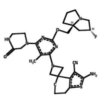 Cc1c(N2CCNC(=O)C2)nc(OC[C@@]23CCCN2C[C@H](F)C3)nc1N1CC2(CCCc3sc(N)c(C#N)c32)C1